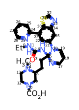 CCNC(=O)NC1(CCC2CN(C(=O)O)CCN2C)N=CC=CN1c1cc(-c2ccccn2)c2scnc2c1